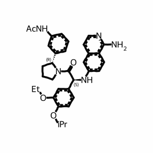 CCOc1cc([C@H](Nc2ccc3c(N)nccc3c2)C(=O)N2CCC[C@@H]2c2cccc(NC(C)=O)c2)ccc1OC(C)C